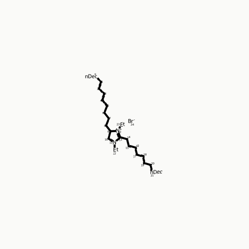 CCCCCCCCCCCCCCCCCCC1CN(CC)C(CCCCCCCCCCCCCCCCC)=[N+]1CC.[Br-]